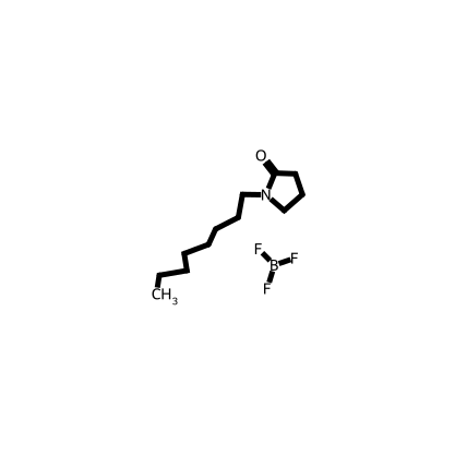 CCCCCCCCN1CCCC1=O.FB(F)F